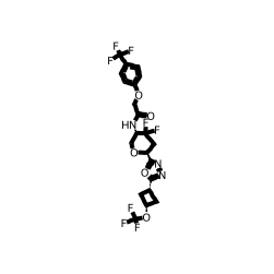 O=C(COc1ccc(C(F)(F)F)cc1)N[C@H]1CO[C@H](c2nnc([C@H]3C[C@@H](OC(F)(F)F)C3)o2)CC1(F)F